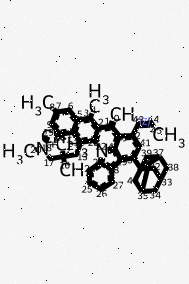 C=c1c2c(C)c3cc(C)ccc3c(CC(C)(C)C[N+](=C)C)c2n2c3ccccc3c3c(C45CC6CC(CC(C6)C4)C5)cc(/C=C\C)c1c32